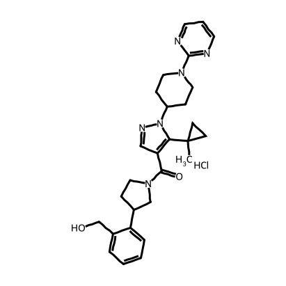 CC1(c2c(C(=O)N3CCC(c4ccccc4CO)C3)cnn2C2CCN(c3ncccn3)CC2)CC1.Cl